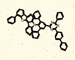 c1ccc(-c2ccc(-c3nc(-c4ccccc4)nc(-c4cc(-c5ccccc5)c(-n5c6ccccc6c6c7oc8c(-c9ccccc9)cccc8c7ccc65)c(-c5ccccc5)c4)n3)cc2)cc1